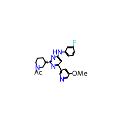 COc1cncc(-c2cc(Nc3cccc(F)c3)nc([C@@H]3CCCN(C(C)=O)C3)n2)c1